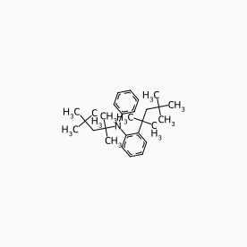 CC(C)(C)CC(C)(C)c1ccccc1N(c1ccccc1)C(C)(C)CC(C)(C)C